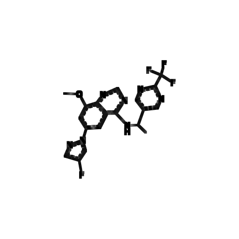 COc1cc(-n2cc(F)cn2)cc2c(NC(C)c3cnc(C(F)(F)F)nc3)ncnc12